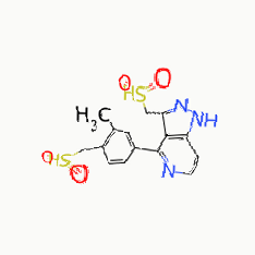 Cc1cc(-c2nccc3[nH]nc(C[SH](=O)=O)c23)ccc1C[SH](=O)=O